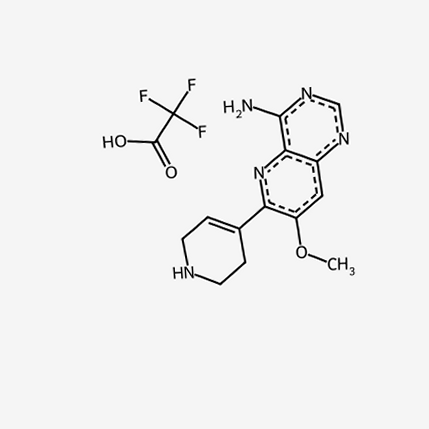 COc1cc2ncnc(N)c2nc1C1=CCNCC1.O=C(O)C(F)(F)F